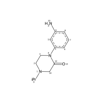 CC(C)N1CCN(c2cccc(N)c2)C(=O)C1